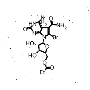 CCC(=O)OC[C@@H]1O[C@H](n2c(Br)c(C(N)=O)c3c(N)[nH]c(=O)nc32)[C@@H](O)[C@@H]1O